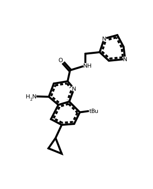 CC(C)(C)c1cc(C2CC2)cc2c(N)cc(C(=O)NCc3cnccn3)nc12